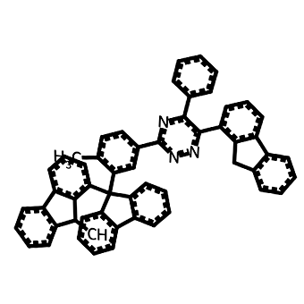 Cc1ccc(-c2nnc(-c3cccc4c3Cc3ccccc3-4)c(-c3ccccc3)n2)cc1C1(c2cccc3c2C(C)c2ccccc2-3)c2ccccc2-c2ccccc21